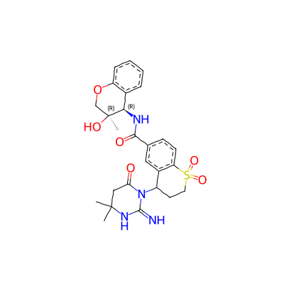 CC1(C)CC(=O)N(C2CCS(=O)(=O)c3ccc(C(=O)N[C@@H]4c5ccccc5OC[C@]4(C)O)cc32)C(=N)N1